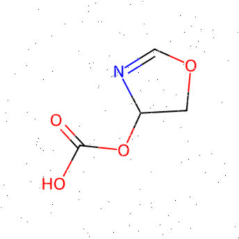 O=C(O)OC1COC=N1